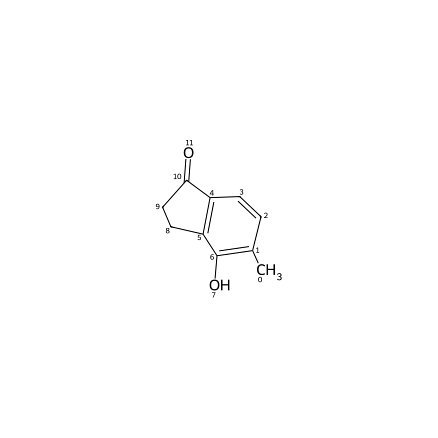 Cc1ccc2c(c1O)CCC2=O